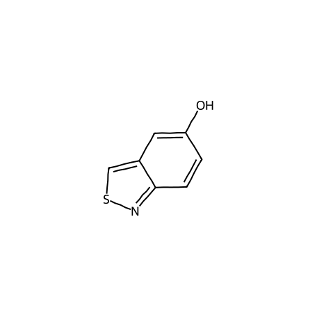 Oc1ccc2nscc2c1